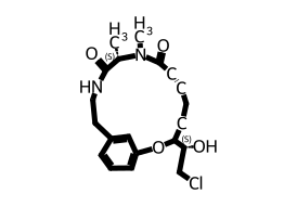 C[C@H]1C(=O)NCCc2cccc(c2)OC([C@H](O)CCl)CCCCC(=O)N1C